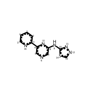 c1ccc(-c2cncc(Nc3nncs3)n2)nc1